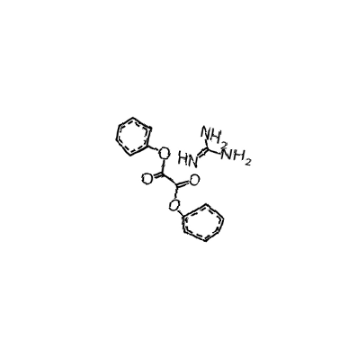 N=C(N)N.O=C(Oc1ccccc1)C(=O)Oc1ccccc1